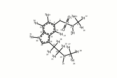 [2H]c1c(CS(=O)(=O)N([2H])C([2H])([2H])[2H])c([2H])c2c(C([2H])([2H])C([2H])([2H])N(C)C([2H])([2H])[2H])cn([2H])c2c1[2H]